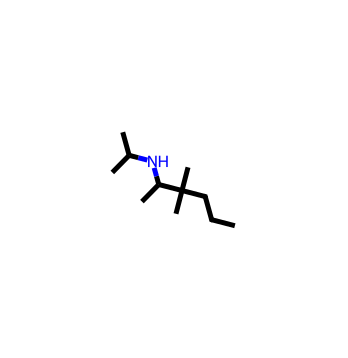 CCCC(C)(C)C(C)NC(C)C